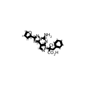 CC(Cc1ccccc1)(C(=O)O)n1ncc2c1nc(N)n1nc(-c3ccco3)nc21